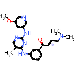 COc1cncc(Nc2ncc(C)c(Nc3cccc(C(=O)/C=C/CN(C)C)c3)n2)c1